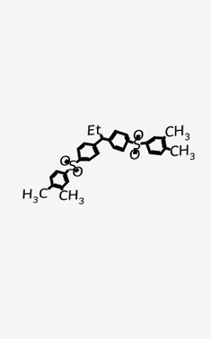 CCC(c1ccc(S(=O)(=O)c2ccc(C)c(C)c2)cc1)c1ccc(S(=O)(=O)c2ccc(C)c(C)c2)cc1